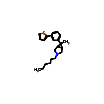 CCCCCCN1CC2C(C1)C2(C)c1cccc(-c2cccs2)c1